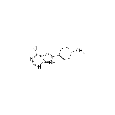 CC1CC=C(c2cc3c(Cl)ncnc3[nH]2)CC1